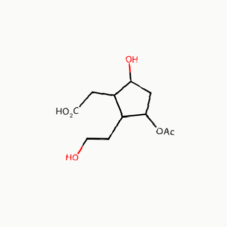 CC(=O)OC1CC(O)C(CC(=O)O)C1CCO